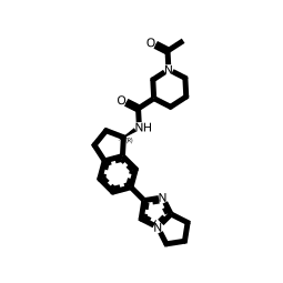 CC(=O)N1CCCC(C(=O)N[C@@H]2CCc3ccc(-c4cn5c(n4)CCC5)cc32)C1